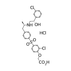 C[C@H](Cc1ccc(S(=O)(=O)c2ccc(OCC(=O)O)c(Cl)c2)cc1)NC[C@@H](O)c1cccc(Cl)c1.Cl